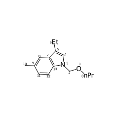 CCCOCn1cc(CC)c2cc(C)ccc21